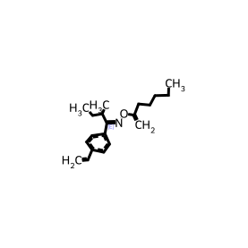 C=Cc1ccc(/C(=N/OC(=C)CCCCC)C(C)CC)cc1